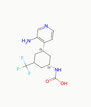 Nc1cnccc1[C@H]1CC(C(F)(F)F)C[C@@H](NC(=O)O)C1